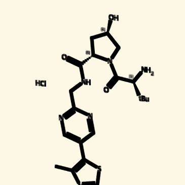 Cc1ncsc1-c1cnc(CNC(=O)[C@@H]2C[C@@H](O)CN2C(=O)[C@@H](N)C(C)(C)C)nc1.Cl